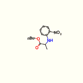 CCCCOC(=O)C(C)Nc1ccccc1[N+](=O)[O-]